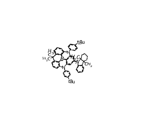 CC(C)(C)c1ccc(N2c3cc(N4c5ccccc5C5(C)CCCCC45C)cc4c3B3c5c2cccc5C(C)(C)c2cccc(c23)N4c2ccc(C(C)(C)C)cc2)cc1